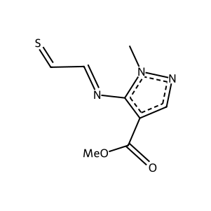 COC(=O)c1cnn(C)c1N=CC=S